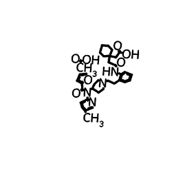 CC(=O)O.Cc1ccc(N(C(=O)c2ccco2)C2CCN(CCc3ccccc3NC(=O)CC3(CC(=O)O)CCCCC3)CC2)nc1